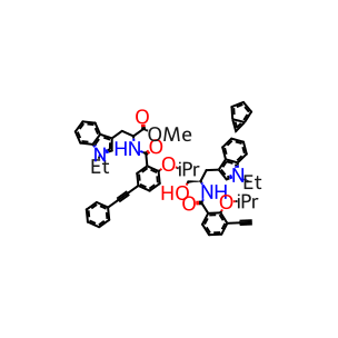 C#Cc1cccc(C(=O)N[C@@H](CO)Cc2cn(CC)c3ccccc23)c1OC(C)C.CCn1cc(CC(NC(=O)c2cc(C#Cc3ccccc3)ccc2OC(C)C)C(=O)OC)c2ccccc21.c1cc2cc-2c1